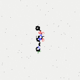 C[C@H]1C(=O)N2[C@@H](CCCN3CCCC(F)(F)C3)CC[C@H]2CN1C(=O)OCc1ccccc1